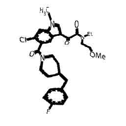 CCN(CCOC)C(=O)C(=O)C1CN(C)c2cc(Cl)c(C(=O)N3CCC(Cc4ccc(F)cc4)CC3)cc21